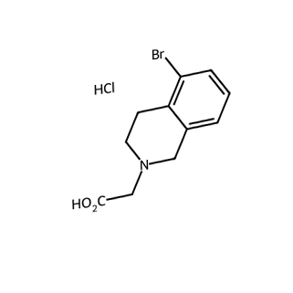 Cl.O=C(O)CN1CCc2c(Br)cccc2C1